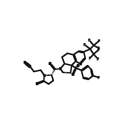 N#CCCN1C(=O)CC[C@H]1C(=O)N1CCC2(S(=O)(=O)c3ccc(F)cc3)c3ncc(C(F)(C(F)(F)F)C(F)(F)F)cc3CCC12